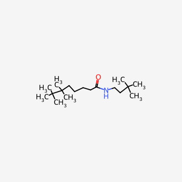 CC(C)(C)CCNC(=O)CCCCC(C)(C)C(C)(C)C